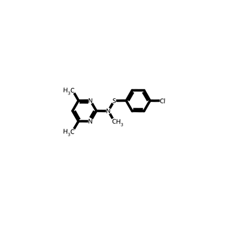 Cc1cc(C)nc(N(C)Sc2ccc(Cl)cc2)n1